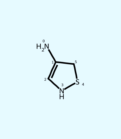 NC1=CNSC1